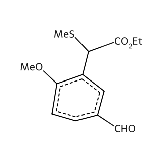 CCOC(=O)C(SC)c1cc(C=O)ccc1OC